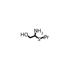 CC(C)SC(N)CO